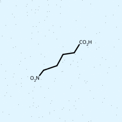 O=C(O)CCCC[N+](=O)[O-]